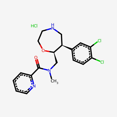 CN(C[C@H]1OCCNC[C@H]1c1ccc(Cl)c(Cl)c1)C(=O)c1ccccn1.Cl